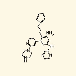 Nc1cc(Nc2cnccn2)nc(-c2ccnc(N3CCNCC3)c2)c1CCCc1ccccc1